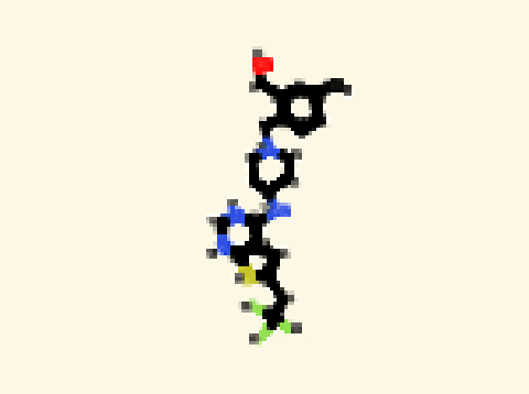 Cc1ccc(CN2CCC(Nc3ncnc4sc(CC(F)(F)F)cc34)CC2)c(CO)c1